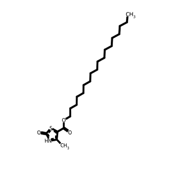 CCCCCCCCCCCCCCCCCCOC(=O)c1sc(=O)[nH]c1C